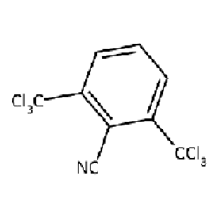 N#Cc1c(C(Cl)(Cl)Cl)cccc1C(Cl)(Cl)Cl